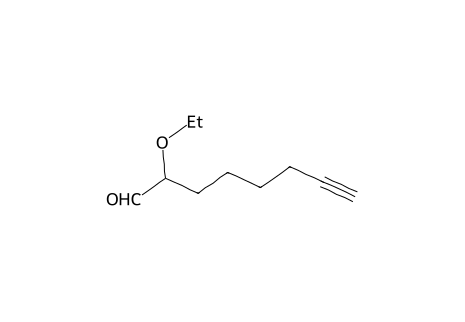 C#CCCCCC(C=O)OCC